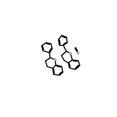 C=O.c1ccc(C2CCc3ccccc3O2)cc1.c1ccc(C2CCc3ccccc3O2)cc1